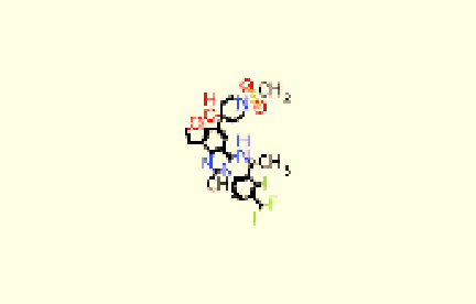 Cc1nc(N[C@H](C)c2cccc(C(F)F)c2F)c2cc(C3(O)CCN(S(C)(=O)=O)CC3)c3c(c2n1)CCO3